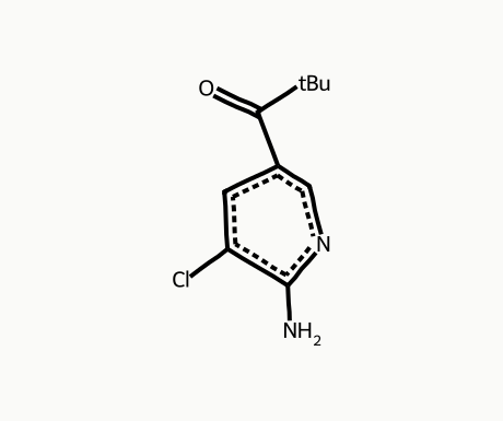 CC(C)(C)C(=O)c1cnc(N)c(Cl)c1